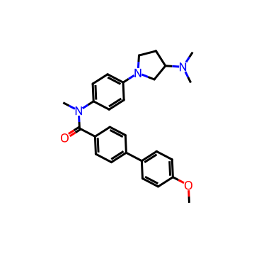 COc1ccc(-c2ccc(C(=O)N(C)c3ccc(N4CCC(N(C)C)C4)cc3)cc2)cc1